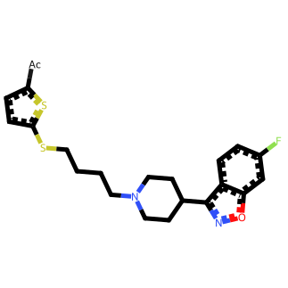 CC(=O)c1ccc(SCCCCN2CCC(c3noc4cc(F)ccc34)CC2)s1